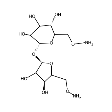 NOCC1O[C@H](O[C@H]2OC(CON)[C@@H](O)C2O)C(O)C(O)[C@@H]1O